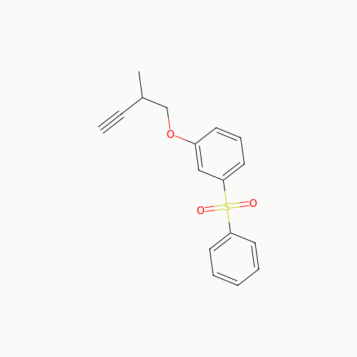 C#CC(C)COc1cccc(S(=O)(=O)c2ccccc2)c1